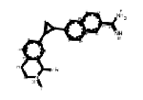 CCCC1c2cc(C3CC3c3ccc4cc(C(=N)N)ccc4c3)ccc2CCN1C